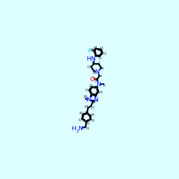 CN(C(=O)CN1CCC(Nc2ccccc2F)CC1)c1ccc2c(c1)nc(CCc1ccc(CN)cc1)n2C